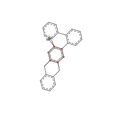 N#Cc1ccc2c(c1)C1c3ccccc3C2c2cc(-c3ccccc3-c3ccccc3)c(C#N)cc21